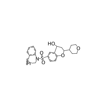 CC(C)CN(c1ccccc1F)S(=O)(=O)c1ccc2c(c1)C(O)CC(C1CCOCC1)O2